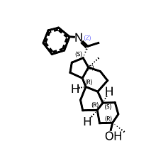 C/C(=N/c1ccccc1)[C@H]1CCC2[C@@H]3CC[C@@H]4C[C@](C)(O)CC[C@@H]4C3CC[C@@]21C